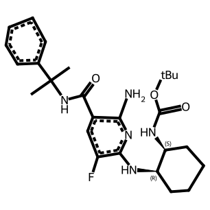 CC(C)(C)OC(=O)N[C@H]1CCCC[C@H]1Nc1nc(N)c(C(=O)NC(C)(C)c2ccccc2)cc1F